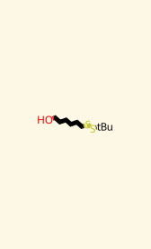 CC(C)(C)SSCCCCCCO